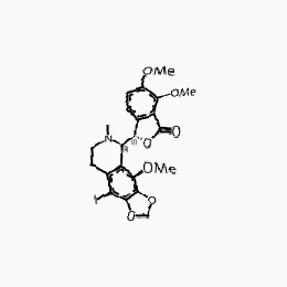 COc1ccc2c(c1OC)C(=O)O[C@@H]2[C@H]1c2c(c(I)c3c(c2OC)OCO3)CCN1C